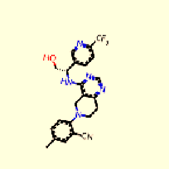 Cc1ccc(N2CCc3ncnc(N[C@H](CO)c4ccc(C(F)(F)F)nc4)c3C2)c(C#N)c1